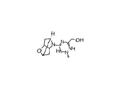 C=NN/C(=N\C(=N)CO)N1C2CC3OC2C[C@H]31